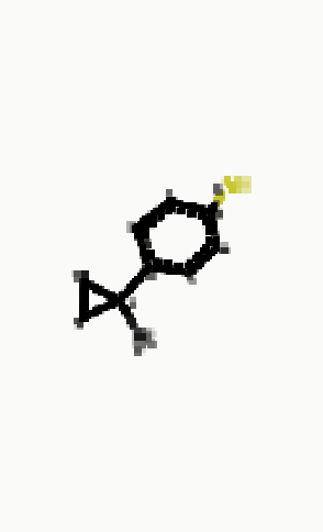 CCC1(c2ccc(S)cc2)CC1